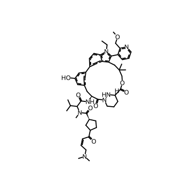 CCn1c(-c2cccnc2COC)c2c3cc(ccc31)-c1cc(O)cc(c1)C[C@H](NC(=O)C(C(C)C)N(C)C(=O)[C@H]1CCC(C(=O)/C=C\CN(C)C)C1)C(=O)N1CCC[C@H](N1)C(=O)OCC(C)(C)C2